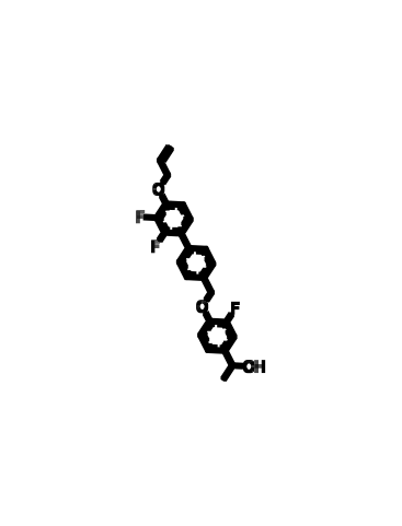 C=CCOc1ccc(-c2ccc(COc3ccc(C(C)O)cc3F)cc2)c(F)c1F